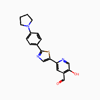 O=Cc1cc(-c2cnc(-c3ccc(N4CCCC4)cc3)s2)ncc1O